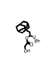 CC(C)OC(CC12CC3CC(CC(C3)C1)C2)OC(=O)CO